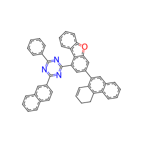 C1=Cc2c(-c3cc(-c4nc(-c5ccccc5)nc(-c5ccc6ccccc6c5)n4)c4c(c3)oc3ccccc34)cc3ccccc3c2CC1